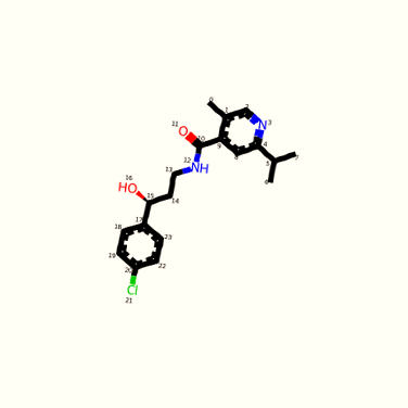 Cc1cnc(C(C)C)cc1C(=O)NCC[C@H](O)c1ccc(Cl)cc1